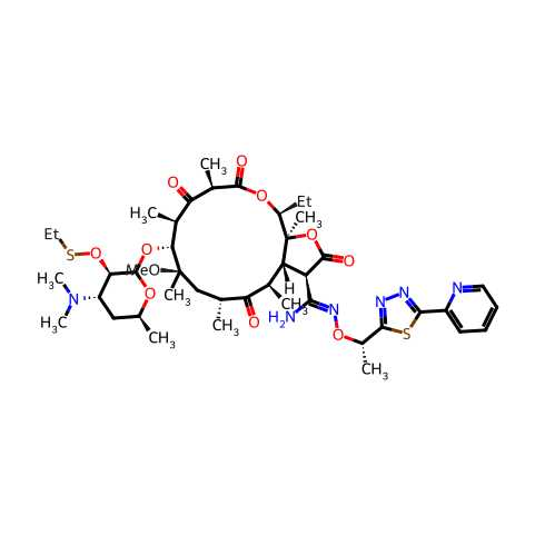 CCSO[C@H]1C(O[C@@H]2[C@@H](C)C(=O)[C@@H](C)C(=O)O[C@@H](CC)[C@@]3(C)OC(=O)[C@@H](/C(N)=N/O[C@@H](C)c4nnc(-c5ccccn5)s4)[C@@H]3[C@@H](C)C(=O)[C@H](C)C[C@@]2(C)OC)O[C@@H](C)C[C@@H]1N(C)C